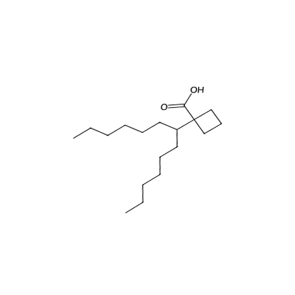 CCCCCCC(CCCCCC)C1(C(=O)O)CCC1